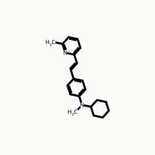 Cc1cccc(C=Cc2ccc(N(C)C3CCCCC3)cc2)n1